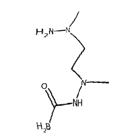 BC(=O)NN(C)CCN(C)N